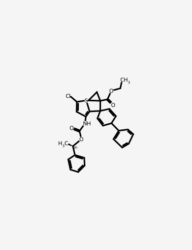 CCOC(=O)C1(C2(c3sc(Cl)cc3NC(=O)O[C@H](C)c3ccccc3)C=CC(c3ccccc3)C=C2)CC1